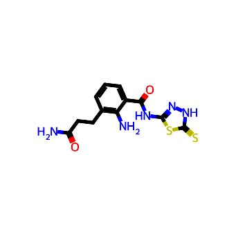 NC(=O)CCc1cccc(C(=O)Nc2n[nH]c(=S)s2)c1N